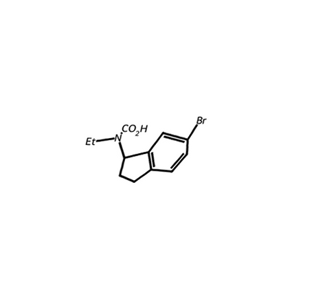 CCN(C(=O)O)C1CCc2ccc(Br)cc21